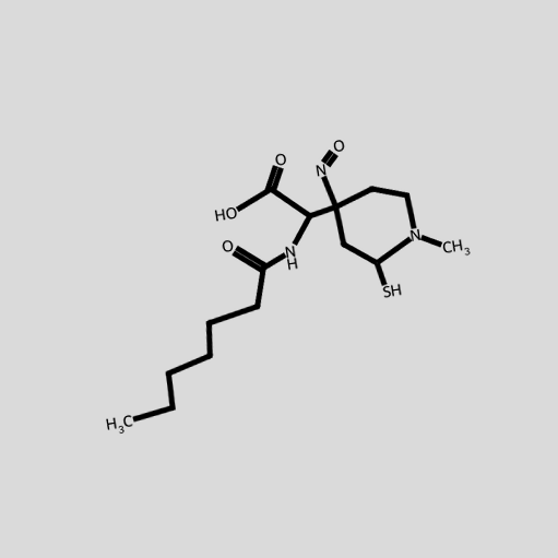 CCCCCCC(=O)NC(C(=O)O)C1(N=O)CCN(C)C(S)C1